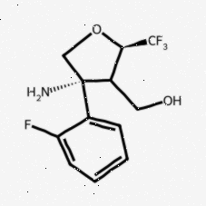 N[C@]1(c2ccccc2F)CO[C@@H](C(F)(F)F)C1CO